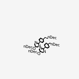 CCCCCCCCCCCCc1ccc(-c2ncc(OCCCCCCCCCC)cn2)cc1.CCCCCCCCCCCc1ccc(-c2ncc(OCCCCCCCCCC)cn2)cc1